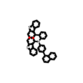 c1ccc(N(c2ccc(-c3cccc4ccccc34)cc2)c2cccc3sc4ccccc4c23)c(-c2cccc3sc4ccccc4c23)c1